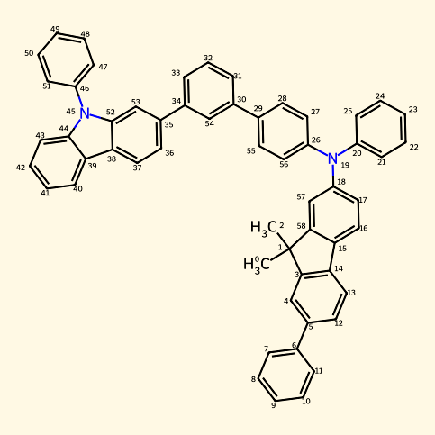 CC1(C)c2cc(-c3ccccc3)ccc2-c2ccc(N(c3ccccc3)c3ccc(-c4cccc(-c5ccc6c7ccccc7n(-c7ccccc7)c6c5)c4)cc3)cc21